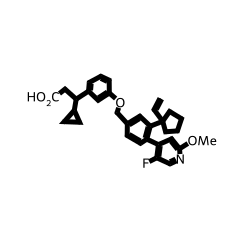 C=CC1(c2cc(COc3cccc(C(CC(=O)O)C4CC4)c3)ccc2-c2cc(OC)ncc2F)CCCC1